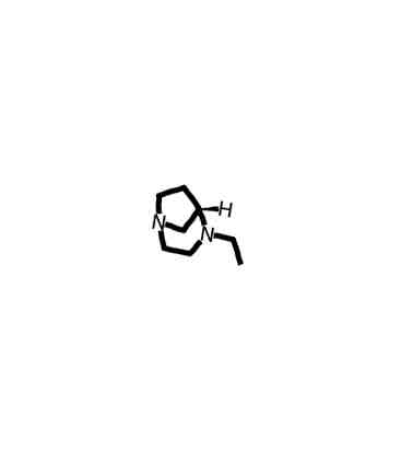 CCN1CCN2CC[C@H]1C2